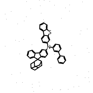 c1ccc(-c2cccc(N(c3ccc4c(c3)-c3ccccc3C43C4CC5CC(C4)CC3C5)c3ccc4c(c3)sc3ccccc34)c2)cc1